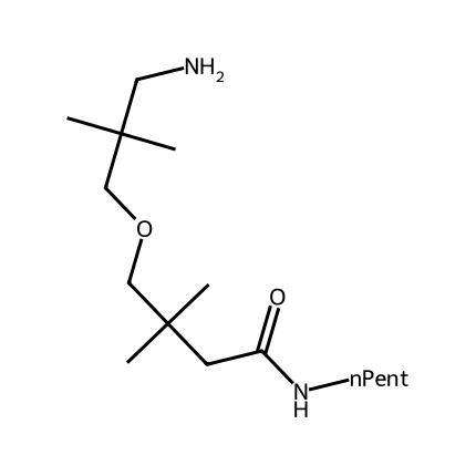 CCCCCNC(=O)CC(C)(C)COCC(C)(C)CN